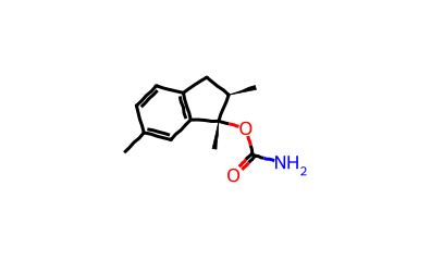 Cc1ccc2c(c1)[C@@](C)(OC(N)=O)[C@H](C)C2